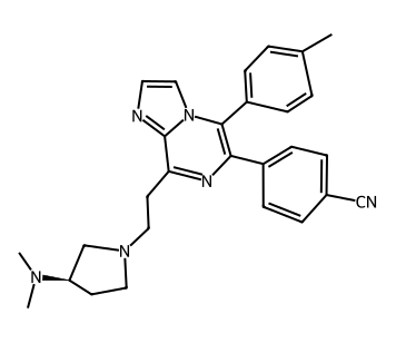 Cc1ccc(-c2c(-c3ccc(C#N)cc3)nc(CCN3CC[C@@H](N(C)C)C3)c3nccn23)cc1